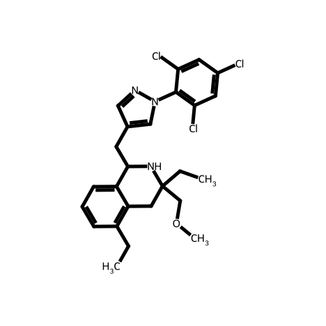 CCc1cccc2c1CC(CC)(COC)NC2Cc1cnn(-c2c(Cl)cc(Cl)cc2Cl)c1